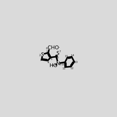 O=[C]c1sccc1C(=S)N(O)c1ccccc1